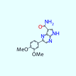 COc1ccc(-c2cnc3[nH]cc(C(N)=O)c3n2)cc1OC